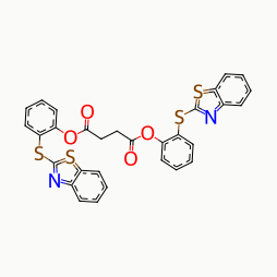 O=C(CCC(=O)Oc1ccccc1Sc1nc2ccccc2s1)Oc1ccccc1Sc1nc2ccccc2s1